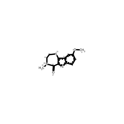 COc1ccc2sc3c(c2c1)SCCN(C)C3=O